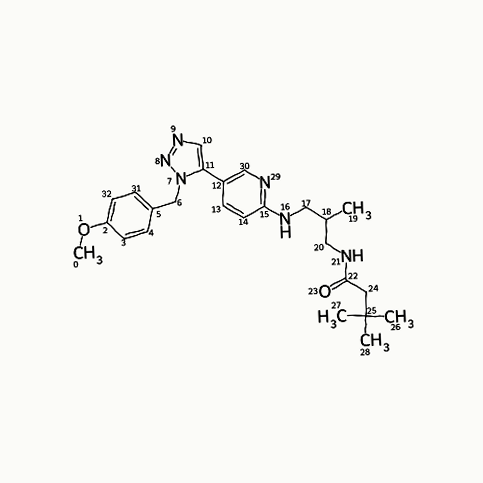 COc1ccc(Cn2nncc2-c2ccc(NCC(C)CNC(=O)CC(C)(C)C)nc2)cc1